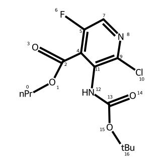 CCCOC(=O)c1c(F)cnc(Cl)c1NC(=O)OC(C)(C)C